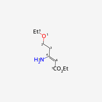 CCOCCC(N)=CC(=O)OCC